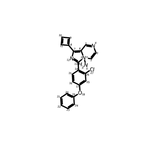 N[N+]12C=CN=CC1=C(C1=CC=C1)N=C2c1ccc(Oc2ccccc2)cc1Cl